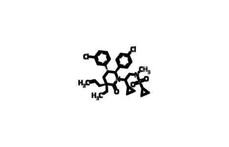 C=CC[C@@]1(CC)C[C@H](c2cccc(Cl)c2)[C@@H](c2ccc(Cl)cc2)N(C(CN(C)S(=O)(=O)C2CC2)C2CC2)C1=O